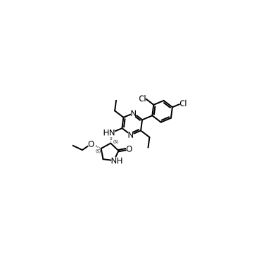 CCO[C@H]1CNC(=O)[C@H]1Nc1nc(CC)c(-c2ccc(Cl)cc2Cl)nc1CC